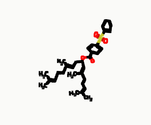 CC(C)=CCC/C(C)=C/CC(/C=C(\C)CCC=C(C)C)OC(=O)c1ccc(S(=O)(=O)c2ccccc2)cc1